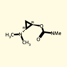 CNC(=O)O[C@@H]1C[C@H]1N(C)C